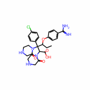 CCC(Oc1ccc(C(=N)N)cc1)C(c1ccc(Cl)cc1)(C(C(=O)O)N1CCNCC1=O)N1CCNCC1=O